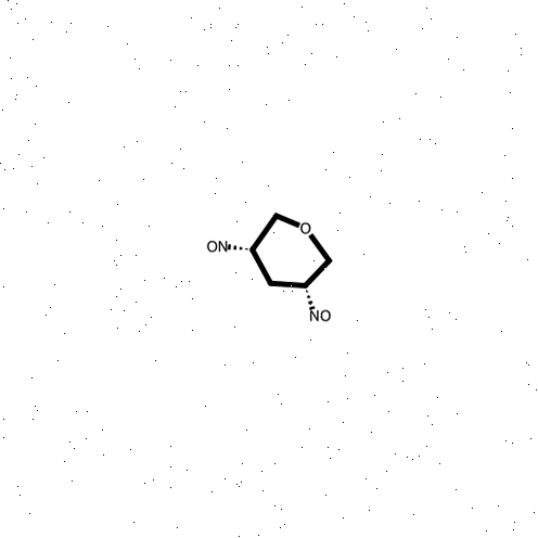 O=N[C@@H]1COC[C@H](N=O)C1